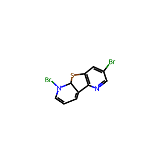 Brc1cnc2c(c1)SC1C2=CC=CN1Br